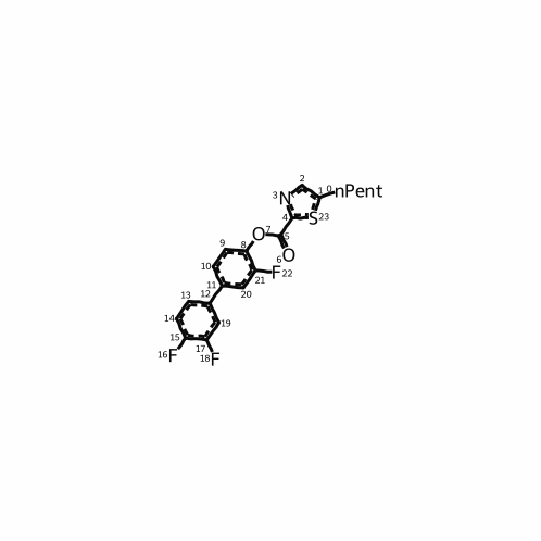 CCCCCc1cnc(C(=O)Oc2ccc(-c3ccc(F)c(F)c3)cc2F)s1